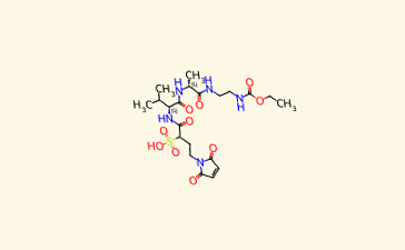 CCOC(=O)NCCNC(=O)[C@H](C)NC(=O)[C@@H](NC(=O)C(CCN1C(=O)C=CC1=O)S(=O)(=O)O)C(C)C